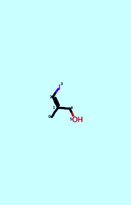 C/C(=C/I)CO